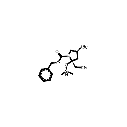 C[SiH](C)O[C@@]1(CC#N)C[C@H](C(C)(C)C)CN1C(=O)OCc1ccccc1